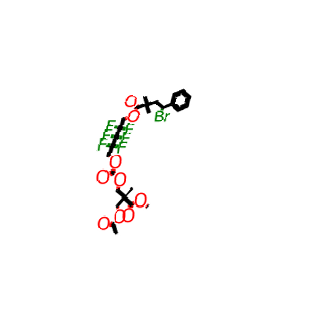 COC(=O)[C@](C)(COC(C)=O)COC(=O)OCC(F)(F)C(F)(F)C(F)(F)COC(=O)C(C)(C)CC(Br)c1ccccc1